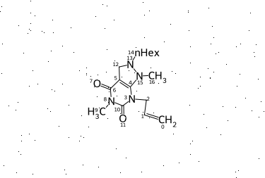 C=CCn1c2c(c(=O)n(C)c1=O)CN(CCCCCC)N2C